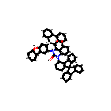 O=C1N(c2cccc3c2-c2ccccc2C32c3ccccc3-c3ccccc32)c2cccc3ccc4c(c23)N1c1cc2c(cc1B4c1ccccc1-c1ccccc1)oc1ccccc12